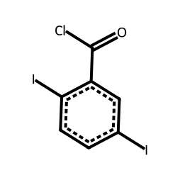 O=C(Cl)c1cc(I)ccc1I